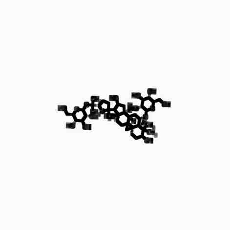 CC(C)(O[C@@H]1O[C@H](CO)[C@@H](O)[C@H](O)[C@H]1O)[C@@H]1CC[C@](C)([C@H]2[C@@H](O)C[C@@]3(C)[C@@H]4C[C@H](O[C@@H]5O[C@H](CO)[C@@H](O)[C@H](O)[C@H]5O)[C@H]5C(C)(C)[C@@H](O)CC[C@@]56C[C@@]46CC[C@]23C)O1